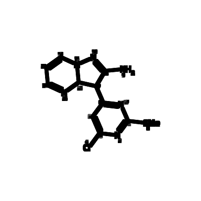 CSc1nc(Cl)cc(C2C(N)=NN3C=CC=NC23)n1